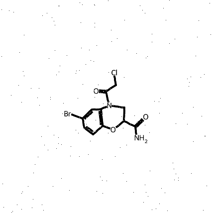 NC(=O)C1CN(C(=O)CCl)c2cc(Br)ccc2O1